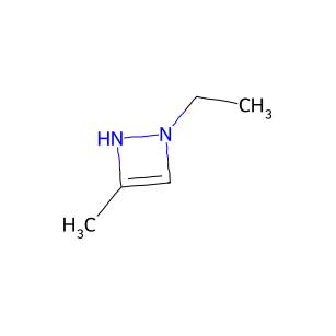 CCn1cc(C)[nH]1